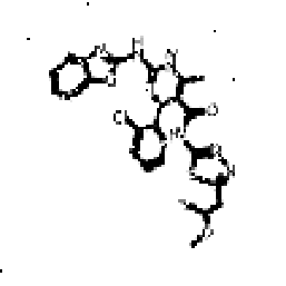 COC(=S)Cc1nnc(NC(=O)C2=C(C)NC(Nc3nc4ccccc4o3)=NC2c2ccccc2Cl)s1